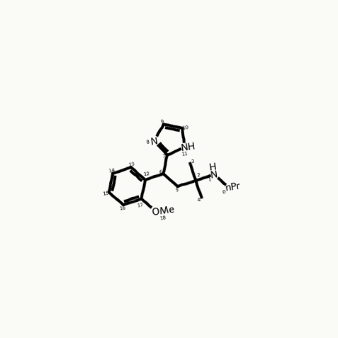 CCCNC(C)(C)CC(c1ncc[nH]1)c1ccccc1OC